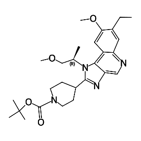 CCc1cc2ncc3nc(C4CCN(C(=O)OC(C)(C)C)CC4)n([C@H](C)COC)c3c2cc1OC